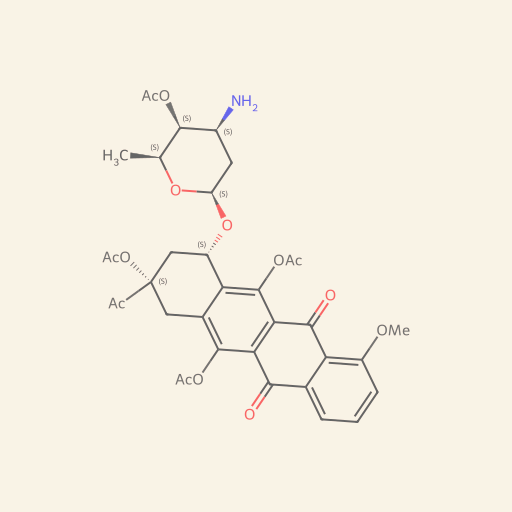 COc1cccc2c1C(=O)c1c(OC(C)=O)c3c(c(OC(C)=O)c1C2=O)C[C@@](OC(C)=O)(C(C)=O)C[C@@H]3O[C@@H]1C[C@H](N)[C@H](OC(C)=O)[C@H](C)O1